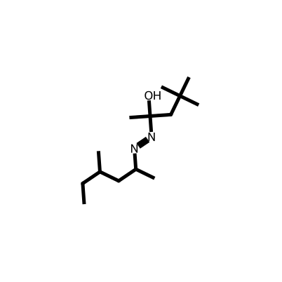 CCC(C)CC(C)N=NC(C)(O)CC(C)(C)C